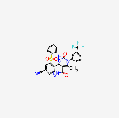 CC1=C(C(N)=O)C(c2ccc(C#N)cc2S(=O)(=O)c2ccccc2)NC(=O)N1c1cccc(C(F)(F)F)c1